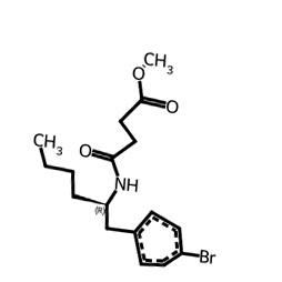 CCCC[C@H](Cc1ccc(Br)cc1)NC(=O)CCC(=O)OC